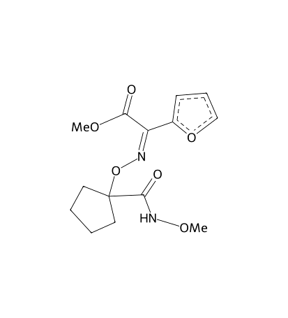 CONC(=O)C1(ON=C(C(=O)OC)c2ccco2)CCCC1